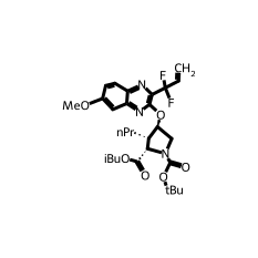 C=CC(F)(F)c1nc2ccc(OC)cc2nc1O[C@H]1CN(C(=O)OC(C)(C)C)[C@H](C(=O)OCC(C)C)[C@@H]1CCC